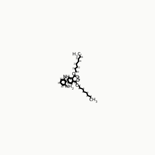 CCCCCCCCOC(=O)c1ccccc1C(=O)OCCCCCCCC.Nc1cccc(N)c1